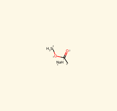 CC(=O)O[SiH3].[NaH]